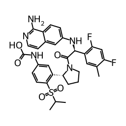 Cc1cc([C@H](Nc2ccc3c(N)nccc3c2)C(=O)N2CCC[C@@H]2c2cc(NC(=O)O)ccc2S(=O)(=O)C(C)C)c(F)cc1F